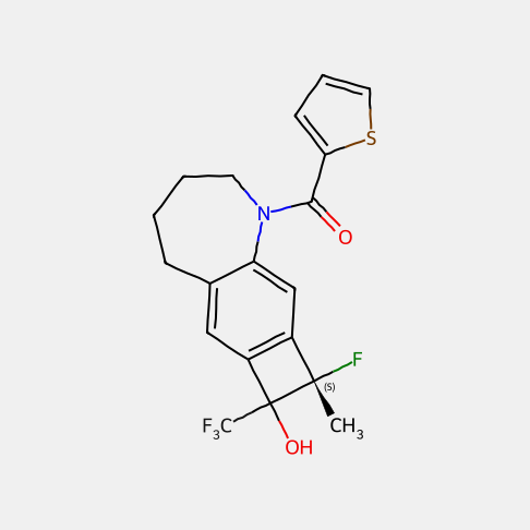 C[C@]1(F)c2cc3c(cc2C1(O)C(F)(F)F)CCCCN3C(=O)c1cccs1